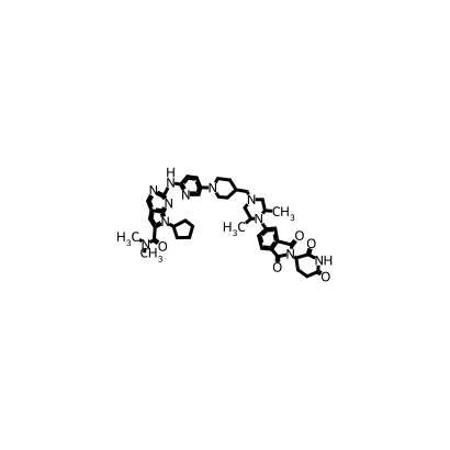 CC1CN(CC2CCN(c3ccc(Nc4ncc5cc(C(=O)N(C)C)n(C6CCCC6)c5n4)nc3)CC2)CC(C)N1c1ccc2c(c1)C(=O)N(C1CCC(=O)NC1=O)C2=O